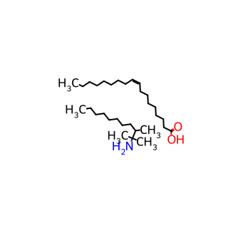 CCCCCCCC/C=C\CCCCCCCC(=O)O.CCCCCCCCC(C)C(C)(C)N